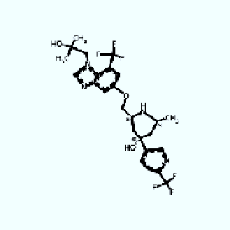 C[C@H]1C[C@@](O)(c2ccc(C(F)(F)F)nc2)C[C@@H](COc2cc(C(F)(F)F)c3c(c2)ncn3CC(C)(C)O)N1